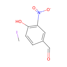 CI.O=Cc1ccc(O)c([N+](=O)[O-])c1